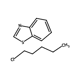 CCCCCCl.c1ccc2scnc2c1